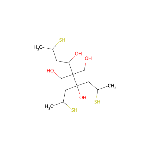 CC(S)CC(O)C(CO)(CO)C(O)(CC(C)S)CC(C)S